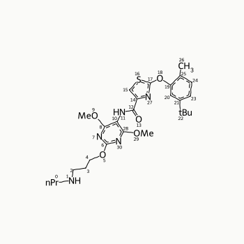 CCCNCCCOc1nc(OC)c(NC(=O)c2csc(Oc3cc(C(C)(C)C)ccc3C)n2)c(OC)n1